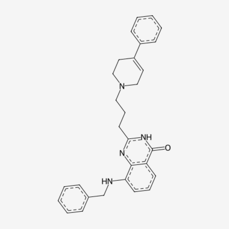 O=c1[nH]c(CCCN2CC=C(c3ccccc3)CC2)nc2c(NCc3ccccc3)cccc12